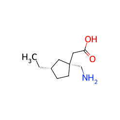 CC[C@H]1CC[C@](CN)(CC(=O)O)C1